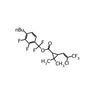 CCCCc1ccc(C(F)(F)OC(=O)C2C(C=C(Cl)C(F)(F)F)C2(C)C)c(F)c1F